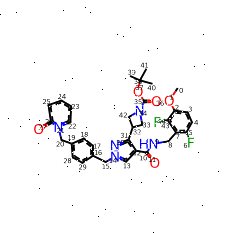 COc1ccc(F)c(CNC(=O)c2cn(Cc3ccc(Cn4ccccc4=O)cc3)nc2C2CN(C(=O)OC(C)(C)C)C2)c1F